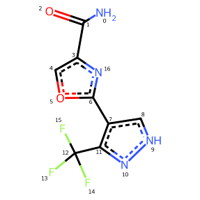 NC(=O)c1coc(-c2c[nH]nc2C(F)(F)F)n1